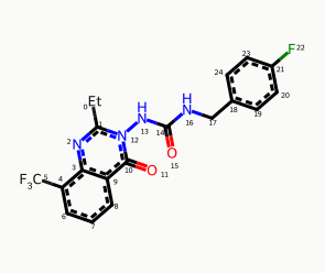 CCc1nc2c(C(F)(F)F)cccc2c(=O)n1NC(=O)NCc1ccc(F)cc1